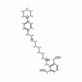 OCc1cccc(CO)c1CNCCCCCCOCCc1ccc(N2CCCCC2)cc1